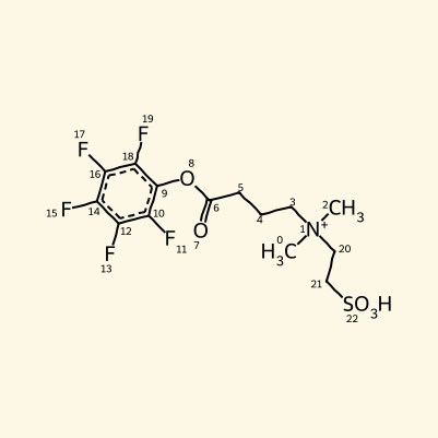 C[N+](C)(CCCC(=O)Oc1c(F)c(F)c(F)c(F)c1F)CCS(=O)(=O)O